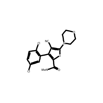 CNC(=O)c1sc(N2CCOCC2)c(C#N)c1-c1cc(Cl)ccc1Cl